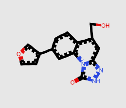 O=c1[nH]nc2cc(CO)c3ccc(-c4ccoc4)cc3n12